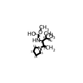 C=C([C@@H](N[C@H](O)OC)C(C)C)N1CCCC1